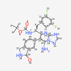 CC(C)(C)OC(=O)N[C@@H](Cc1cc(F)cc(F)c1)c1nc2ncnn2c(N)c1-c1ccc2c(c1)C(=O)NC2